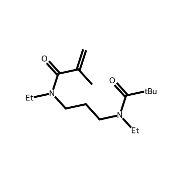 C=C(C)C(=O)N(CC)CCCN(CC)C(=O)C(C)(C)C